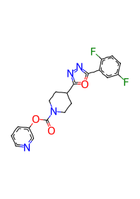 O=C(Oc1cccnc1)N1CCC(c2nnc(-c3cc(F)ccc3F)o2)CC1